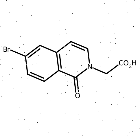 O=C(O)Cn1ccc2cc(Br)ccc2c1=O